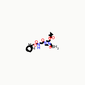 BC(=O)CN1CCN(C(=O)CCNC(=O)OC[C@@H]2[C@@H]3CCC#CCC[C@@H]32)CC1COC(=O)C1(C)CC1